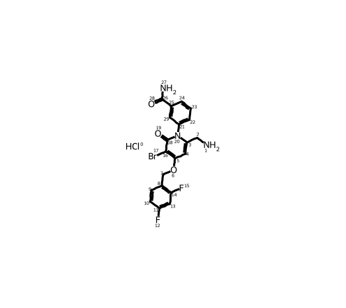 Cl.NCc1cc(OCc2ccc(F)cc2F)c(Br)c(=O)n1-c1cccc(C(N)=O)c1